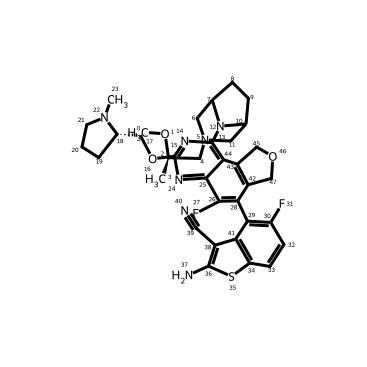 CO[C@H](C)CN1CC2CCC(C1)N2c1nc(OC[C@@H]2CCCN2C)nc2c(F)c(-c3c(F)ccc4sc(N)c(C#N)c34)c3c(c12)COC3